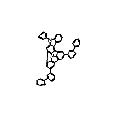 c1ccc(-c2cccc(-c3cc4c5cc(-c6cccc(-c7ccccc7)c6)cc6c7c8c9ccccc9n(-c9ccccc9)c8cc8c(c3)c4n(c56)c87)c2)cc1